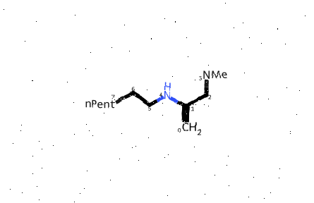 C=C(CNC)NCCCCCCC